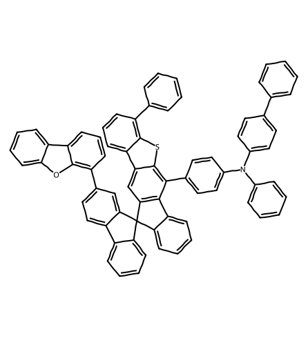 c1ccc(-c2ccc(N(c3ccccc3)c3ccc(-c4c5c(cc6c4sc4c(-c7ccccc7)cccc46)C4(c6ccccc6-c6ccc(-c7cccc8c7oc7ccccc78)cc64)c4ccccc4-5)cc3)cc2)cc1